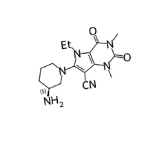 CCn1c(N2CCC[C@H](N)C2)c(C#N)c2c1c(=O)n(C)c(=O)n2C